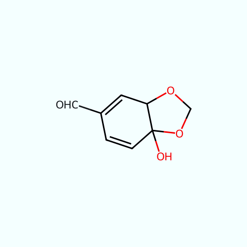 O=CC1=CC2OCOC2(O)C=C1